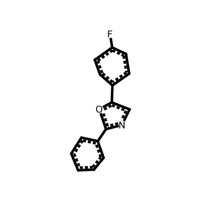 Fc1ccc(-c2cnc(-c3ccccc3)o2)cc1